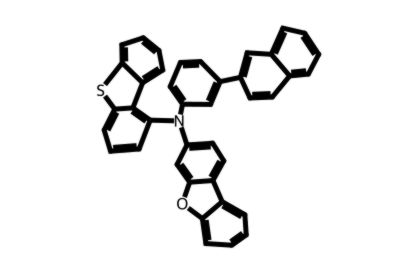 c1cc(-c2ccc3ccccc3c2)cc(N(c2ccc3c(c2)oc2ccccc23)c2cccc3sc4ccccc4c23)c1